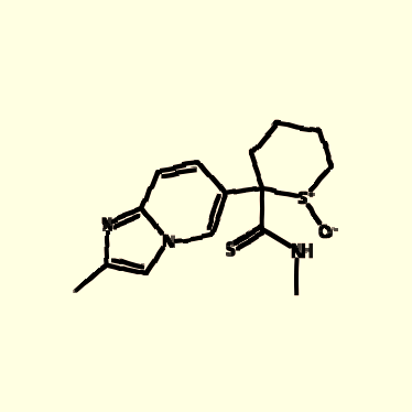 CNC(=S)C1(c2ccc3nc(C)cn3c2)CCCC[S+]1[O-]